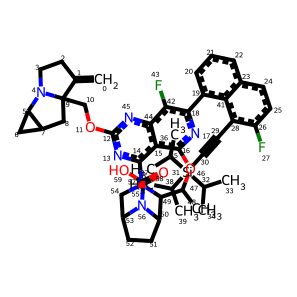 C=C1CCN2C3CC3CC12COc1nc2c3c(nc(-c4cccc5ccc(F)c(C#C[Si](C(C)C)(C(C)C)C(C)C)c45)c(F)c3n1)OC(C)C1C3CCC(CN21)N3C(=O)O